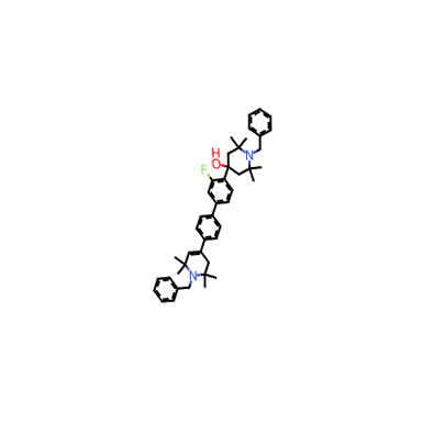 CC1(C)C=C(c2ccc(-c3ccc(C4(O)CC(C)(C)N(Cc5ccccc5)C(C)(C)C4)c(F)c3)cc2)CC(C)(C)N1Cc1ccccc1